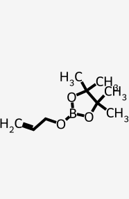 C=CCOB1OC(C)(C)C(C)(C)O1